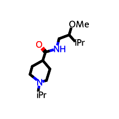 COC(CNC(=O)C1CCN(C(C)C)CC1)C(C)C